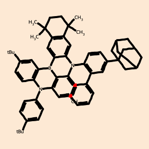 Cc1cc2c3c(c1)N(c1ccc(C45CC6CC(CC(C6)C4)C5)cc1-c1ccccc1)c1cc4c(cc1B3c1cc(C(C)(C)C)ccc1N2c1ccc(C(C)(C)C)cc1)C(C)(C)CCC4(C)C